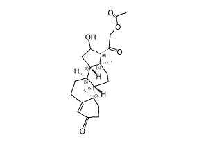 CC(=O)OCC(=O)[C@H]1C(O)C[C@H]2[C@@H]3CCC4=CC(=O)CC[C@]4(C)[C@H]3CC[C@]12C